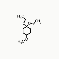 CCOC1(OCC)CCC(OC)CC1